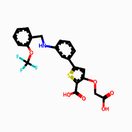 O=C(O)COc1cc(-c2cccc(NCc3ccccc3OC(F)(F)F)c2)sc1C(=O)O